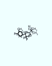 Cc1cc(C(N[S+]([O-])C(C)(C)C)C(F)(F)F)ccc1F